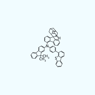 CC1(C)c2ccccc2-c2ccc(N(c3ccc(-c4cccc5c4sc4ccccc45)cc3)c3cccc4c3-c3ccccc3C43C4CC5CC[C@@H]3CC(C5)C4)cc21